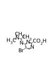 C/C(=N\c1nc(C(=O)O)ncc1Br)N(C)C